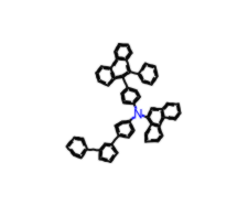 c1ccc(-c2cccc(-c3ccc(N(c4ccc(-c5c(-c6ccccc6)c6ccccc6c6ccccc56)cc4)c4cc5ccccc5c5ccccc45)cc3)c2)cc1